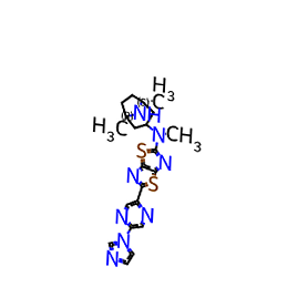 CN(c1nc2sc(-c3cnc(-n4ccnc4)cn3)nc2s1)C1C[C@]2(C)CC[C@](C)(C1)N2